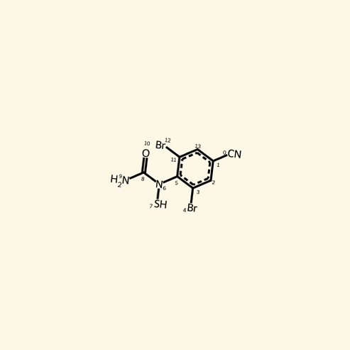 N#Cc1cc(Br)c(N(S)C(N)=O)c(Br)c1